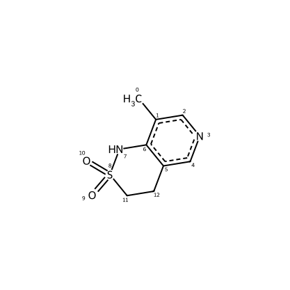 Cc1cncc2c1NS(=O)(=O)CC2